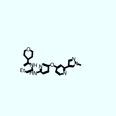 C=C(N/C(=C\CC)Nc1ccc(Oc2ccnc(-c3cnn(C)c3)c2)cn1)C1CCOCC1